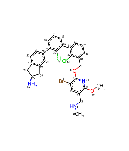 CNCc1cc(Br)c(OCc2cccc(-c3cccc(-c4ccc5c(c4)C[C@@H](N)C5)c3Cl)c2Cl)nc1OC